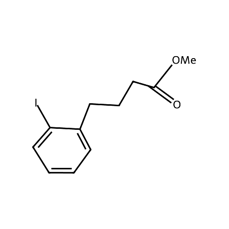 COC(=O)CCCc1ccccc1I